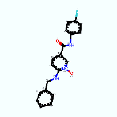 O=C(Nc1ccc(F)cc1)c1ccc(NCc2ccccc2)[n+]([O-])c1